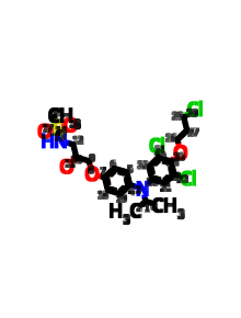 CC(C)N(c1ccc(OCC(=O)CNS(C)(=O)=O)cc1)c1cc(Cl)c(OCCCCl)c(Cl)c1